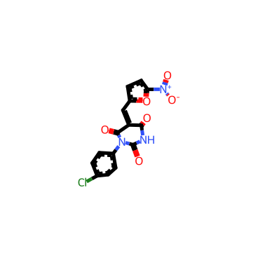 O=C1NC(=O)N(c2ccc(Cl)cc2)C(=O)/C1=C/c1ccc([N+](=O)[O-])o1